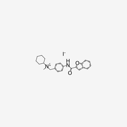 C[N+](C)(Cc1ccc(NC(=O)c2cc3ccccc3o2)cc1)C1CCCCC1.[I-]